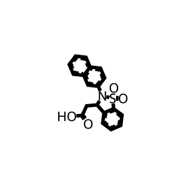 O=C(O)CC1c2ccccc2S(=O)(=O)N1c1ccc2ccccc2c1